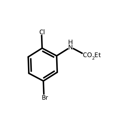 CCOC(=O)Nc1cc(Br)ccc1Cl